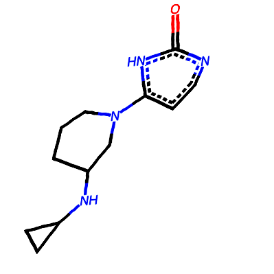 O=c1nccc(N2CCCC(NC3CC3)C2)[nH]1